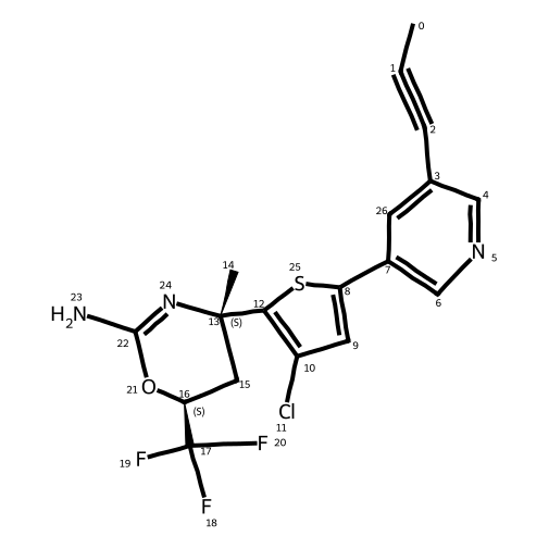 CC#Cc1cncc(-c2cc(Cl)c([C@]3(C)C[C@@H](C(F)(F)F)OC(N)=N3)s2)c1